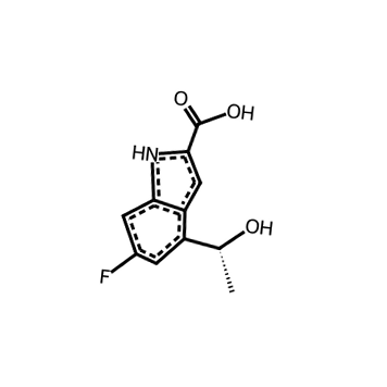 C[C@@H](O)c1cc(F)cc2[nH]c(C(=O)O)cc12